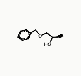 C#CC(O)COCc1ccccc1